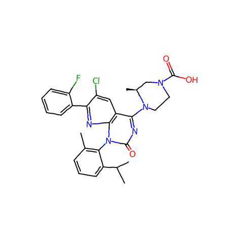 Cc1cccc(C(C)C)c1-n1c(=O)nc(N2CCN(C(=O)O)C[C@@H]2C)c2cc(Cl)c(-c3ccccc3F)nc21